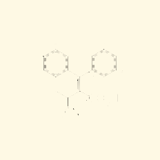 CC(C#N)C(C(=O)O)=C(c1ccccc1)c1ccccc1